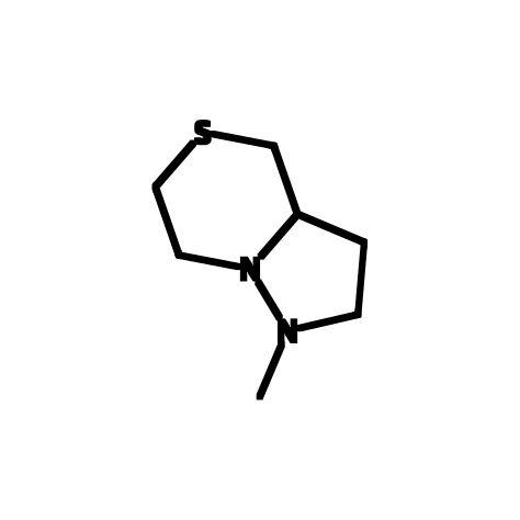 CN1CCC2CSCCN21